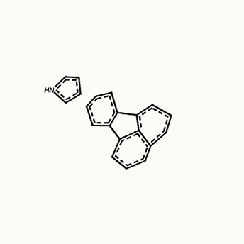 c1cc[nH]c1.c1ccc2c(c1)-c1cccc3cccc-2c13